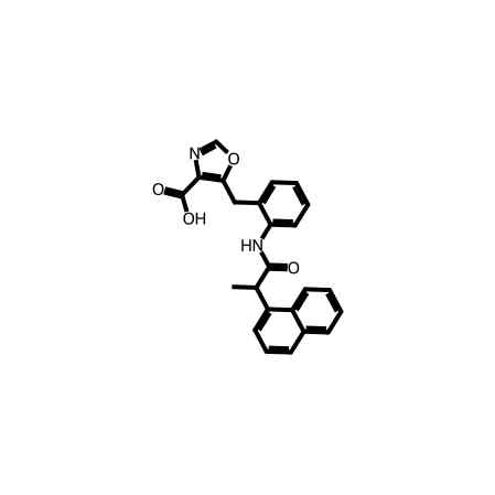 CC(C(=O)Nc1ccccc1Cc1ocnc1C(=O)O)c1cccc2ccccc12